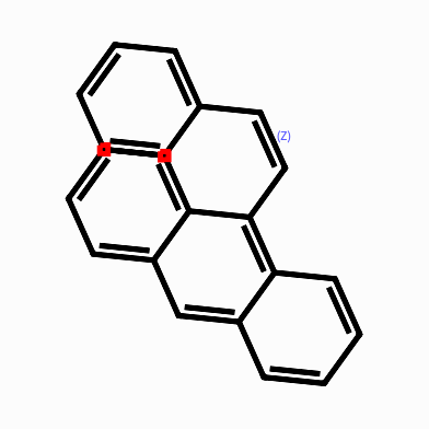 C(=C/c1c2ccccc2cc2ccccc12)/c1ccccc1